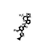 CC(C)Oc1cnc(C(=O)Nc2cccc3c2OC[C@H](C)n2nnnc2-3)cc1-n1cnc(C2CC2)c1